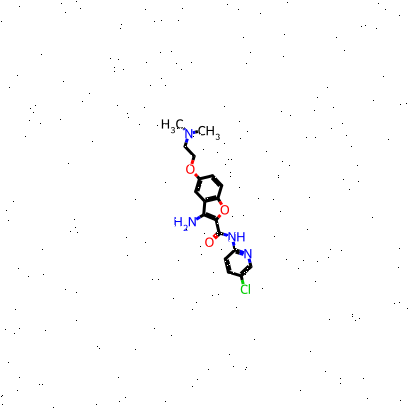 CN(C)CCOc1ccc2oc(C(=O)Nc3ccc(Cl)cn3)c(N)c2c1